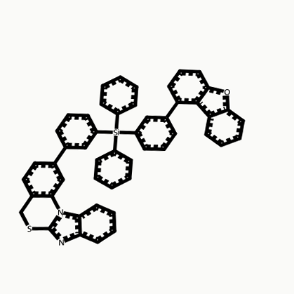 c1ccc([Si](c2ccccc2)(c2cccc(-c3ccc4c(c3)-n3c(nc5ccccc53)SC4)c2)c2cccc(-c3cccc4oc5ccccc5c34)c2)cc1